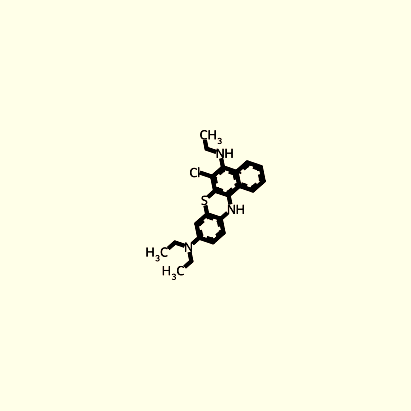 CCNc1c(Cl)c2c(c3ccccc13)Nc1ccc(N(CC)CC)cc1S2